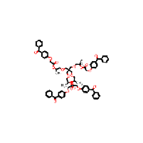 CC(COCC(COCC(C)OC(=O)COc1ccc(C(=O)c2ccccc2)cc1)(COCC(C)OC(=O)COc1ccc(C(=O)c2ccccc2)cc1)COCC(C)OC(=O)COc1ccc(C(=O)c2ccccc2)cc1)OC(=O)COc1ccc(C(=O)c2ccccc2)cc1